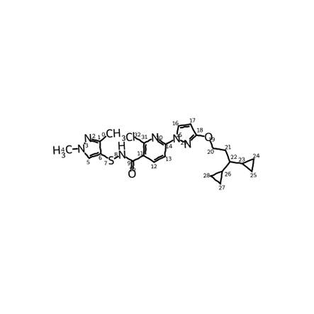 Cc1nn(C)cc1SNC(=O)c1ccc(-n2ccc(OCCC(C3CC3)C3CC3)n2)nc1Cl